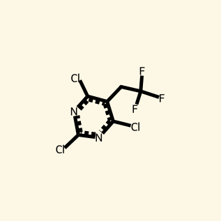 FC(F)(F)Cc1c(Cl)nc(Cl)nc1Cl